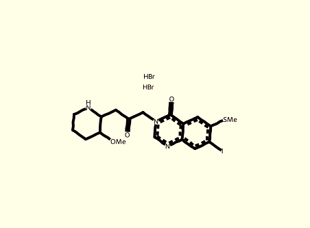 Br.Br.COC1CCCNC1CC(=O)Cn1cnc2cc(I)c(SC)cc2c1=O